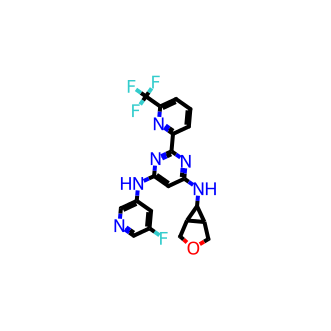 Fc1cncc(Nc2cc(NC3C4COCC43)nc(-c3cccc(C(F)(F)F)n3)n2)c1